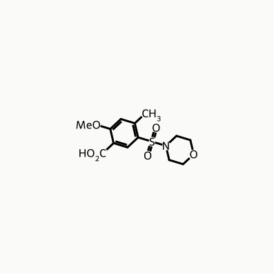 COc1cc(C)c(S(=O)(=O)N2CCOCC2)cc1C(=O)O